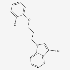 N#Cc1cn(CCCOc2ccccc2Cl)c2ccccc12